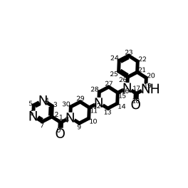 O=C(c1cncnc1)N1CCC(N2CCC(N3C(=O)NCC4CC=CC=C43)CC2)CC1